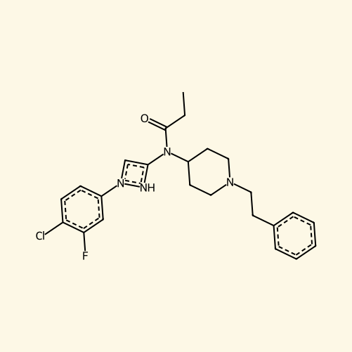 CCC(=O)N(c1cn(-c2ccc(Cl)c(F)c2)[nH]1)C1CCN(CCc2ccccc2)CC1